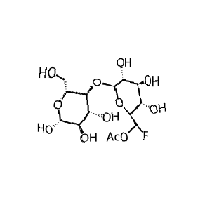 CC(=O)OC(F)[C@H]1O[C@@H](O[C@H]2[C@H](O)[C@@H](O)[C@H](O)O[C@@H]2CO)[C@H](O)[C@@H](O)[C@@H]1O